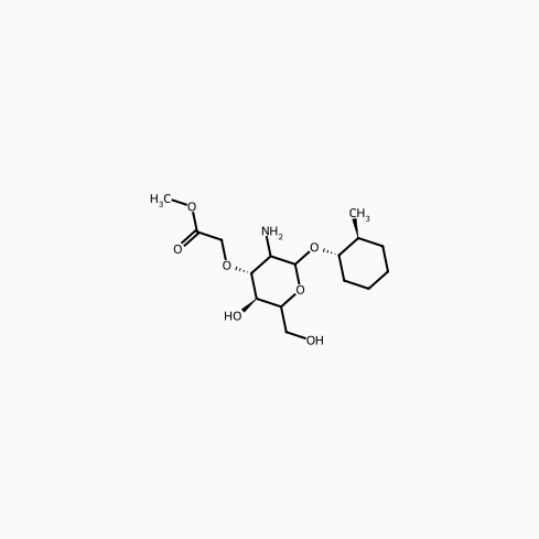 COC(=O)CO[C@@H]1C(N)C(O[C@H]2CCCC[C@@H]2C)OC(CO)[C@H]1O